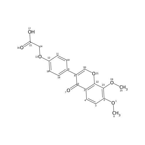 COc1ccc2c(=O)c(-c3ccc(OCC(=O)O)cc3)coc2c1OC